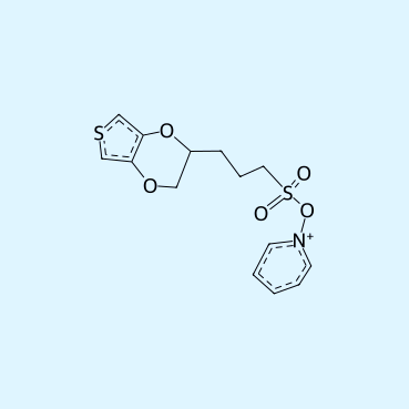 O=S(=O)(CCCC1COc2cscc2O1)O[n+]1ccccc1